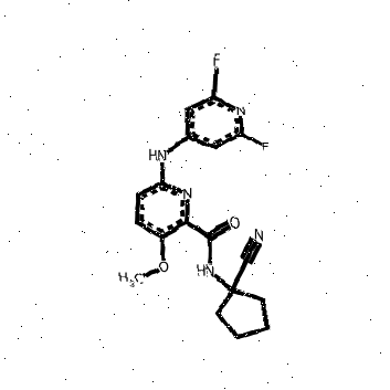 COc1ccc(Nc2cc(F)nc(F)c2)nc1C(=O)NC1(C#N)CCCC1